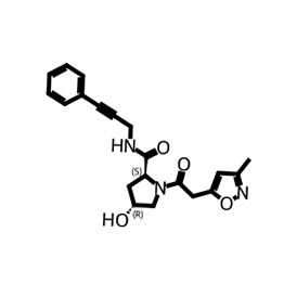 Cc1cc(CC(=O)N2C[C@H](O)C[C@H]2C(=O)NCC#Cc2ccccc2)on1